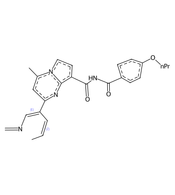 C=N/C=C(\C=C/C)c1cc(C)n2ccc(C(=O)NC(=O)c3ccc(OCCC)cc3)c2n1